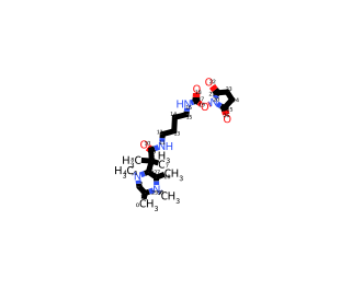 CC1CN(C)C(C(C)(C)C(=O)NCCCCNC(=O)ON2C(=O)CCC2=O)C(C)N1C